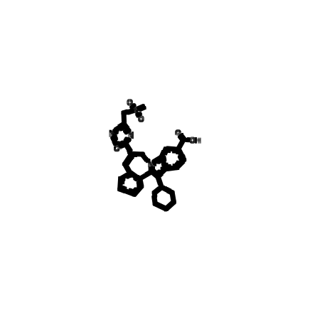 CS(=O)(=O)Cc1noc(C2=Cc3ccccc3-c3c(C4CCCCC4)c4ccc(C(=O)O)cc4n3C2)n1